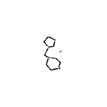 C1CCN(CN2CCNCC2)C1.Cl